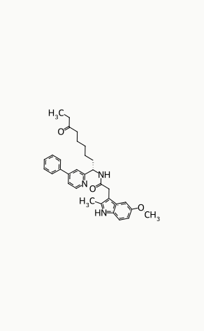 CCC(=O)CCCCC[C@H](NC(=O)Cc1c(C)[nH]c2ccc(OC)cc12)c1cc(-c2ccccc2)ccn1